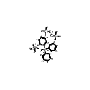 C[Si](C)(C)OO[Si](C)(C)C.C[Si](C)(C)OO[Si](c1ccccc1)(c1ccccc1)c1ccccc1